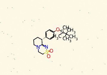 CC(C)(C)[Si](C)(C)Oc1ccc([C@H]2CCCN3CCS(=O)(=O)N=C23)cc1